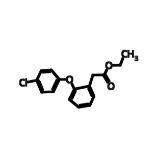 CCOC(=O)Cc1ccccc1Oc1ccc(Cl)cc1